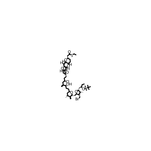 C=C(C[C@H](Cl)CC[C@@]12C[C@H]3OC4[C@@H](O[C@H]5CC[C@H](CC(=O)SCC)O[C@@H]5[C@@H]4O1)C3O2)[C@@H](O)CCC1C[C@@H](C)C(=C)[C@@H](CC2O[C@H](C[C@@H](CC)O[Si](C)(C)C(C)(C)C)[C@H](C)[C@H]2CBr)O1